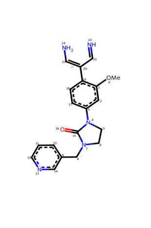 COc1cc(N2CCN(Cc3cccnc3)C2=O)ccc1/C(C=N)=C/N